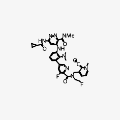 CNC(=O)c1nnc(NC(=O)C2CC2)cc1Nc1cccc(-c2cnc(C(=O)N(CCF)CC3=CC=CN(C)C3=C=O)c(F)c2)c1N(C)C